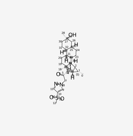 C[C@H]1C2[C@H]1[C@H](C(=O)Cn1cc(S(C)(=O)=O)cn1)[C@@]1(C)CC[C@H]3[C@@H](CC[C@@H]4C[C@](C)(O)CC[C@@H]43)[C@H]21